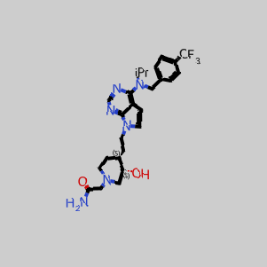 CC(C)N(Cc1ccc(C(F)(F)F)cc1)c1ncnc2c1ccn2CC[C@@H]1CCN(CC(N)=O)C[C@H]1O